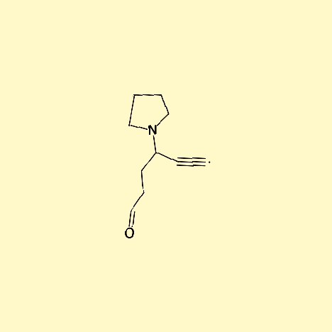 [C]#CC(CCC=O)N1CCCC1